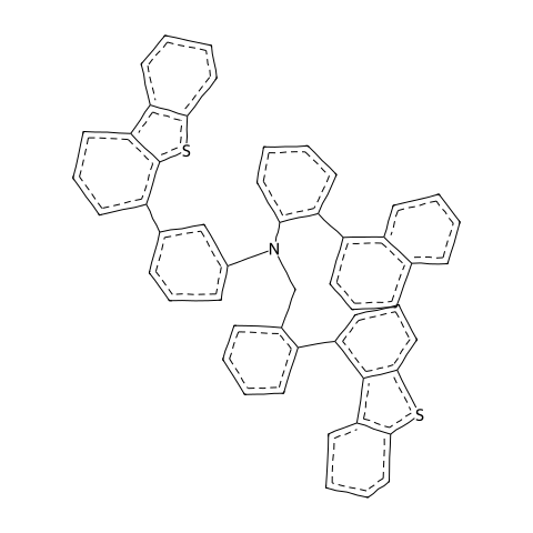 c1cc(-c2cccc3c2sc2ccccc23)cc(N(Cc2ccccc2-c2cccc3sc4ccccc4c23)c2ccccc2-c2cccc3ccccc23)c1